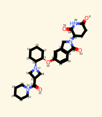 O=C1CCC(N2Cc3cc(O[C@H]4CCCC[C@@H]4N4CC(C(=O)N5CCCCC5)C4)ccc3C2=O)C(=O)N1